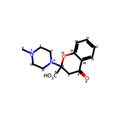 CN1CCN(C2(C(=O)O)CC(=O)c3ccccc3O2)CC1